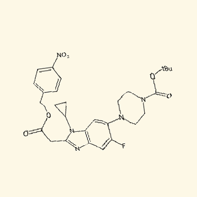 CC(C)(C)OC(=O)N1CCN(c2cc3c(cc2F)nc(CC(=O)OCc2ccc([N+](=O)[O-])cc2)n3C2CC2)CC1